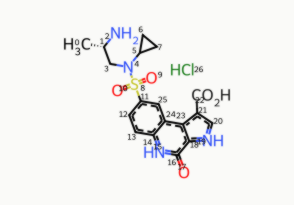 C[C@H](N)CN(C1CC1)S(=O)(=O)c1ccc2[nH]c(=O)c3[nH]cc(C(=O)O)c3c2c1.Cl